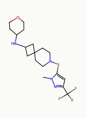 Cn1nc(C(F)(F)F)cc1SN1CCC2(CC1)CC(NC1CCOCC1)C2